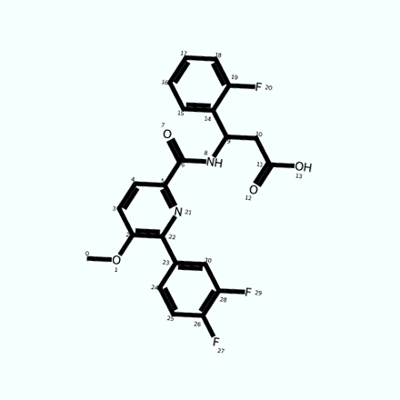 COc1ccc(C(=O)NC(CC(=O)O)c2ccccc2F)nc1-c1ccc(F)c(F)c1